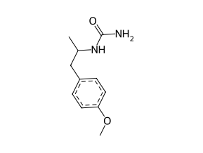 COc1ccc(CC(C)NC(N)=O)cc1